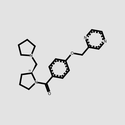 O=C(c1ccc(OCc2cnccn2)cc1)N1CCC[C@H]1CN1CCCC1